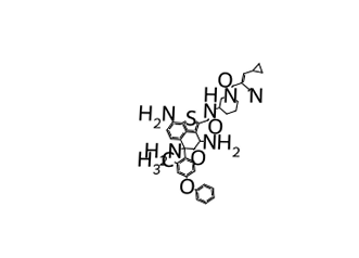 Cc1cc(Oc2ccccc2)ccc1C1(N)C(=O)C(N)c2c(C(=O)NC3CCCN(C(=O)/C(C#N)=C/C4CC4)C3)sc3c(N)ccc1c23